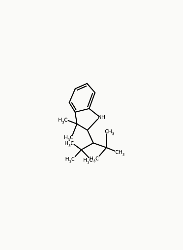 CC(C)(C)C(C1Nc2ccccc2C1(C)C)C(C)(C)C